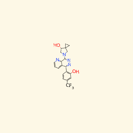 Oc1cc(C(F)(F)F)ccc1-c1nnc(N2CC(O)C3(CC3)C2)c2ncccc12